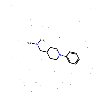 CN(C)CC1CCN(c2ccccc2)CC1